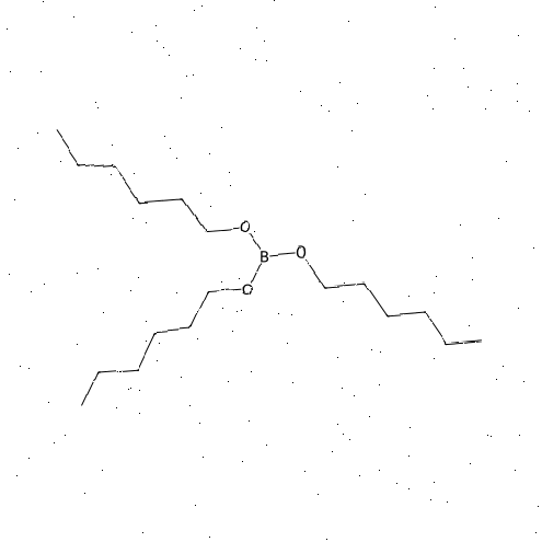 CCCCCCOB(OCCCCCC)OCCCCCC